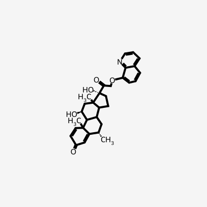 C[C@H]1CC2C([C@@H](O)CC3(C)C2CC[C@]3(O)C(=O)COc2cccc3cccnc23)C2(C)C=CC(=O)C=C12